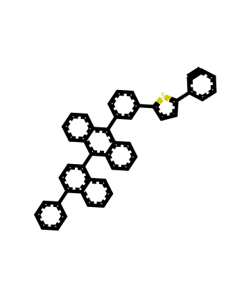 c1cccc(-c2ccc(-c3cccc(-c4c5ccccc5c(-c5ccc(-c6ccccc6)c6ccccc56)c5ccccc45)c3)s2)c#1